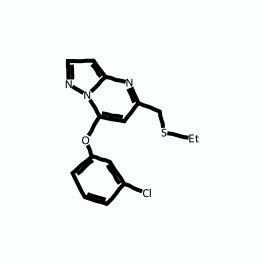 CCSCc1cc(Oc2cccc(Cl)c2)n2nccc2n1